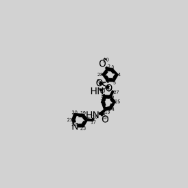 COc1cccc(S(=O)(=O)Nc2cc(C(=O)NCc3cccnc3)ccc2C)c1